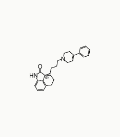 O=C1Nc2cccc3c2[C@@]1(CCCCN1CC=C(c2ccccc2)CC1)CCC3